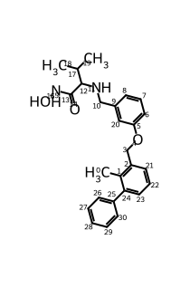 Cc1c(COc2cccc(CNC(C(=O)NO)C(C)C)c2)cccc1-c1ccccc1